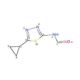 O=CNc1nnc(C2CC2)s1